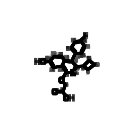 O=C(O)COc1nc(C2CCC2)c(-c2ccc(F)cc2)c2ccc(O)cc12